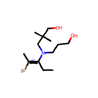 CC/C(=C(/C)Br)N(CCCO)CC(C)(C)CO